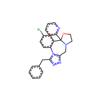 Brc1ccc2c(c1)C1(c3ccccn3)OCCN1Cc1nnc(Cc3ccccc3)n1-2